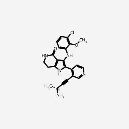 COc1c(Cl)cccc1Nc1c(-c2ccncc2C#C[C@@H](C)N)[nH]c2c1C(=O)NCC2